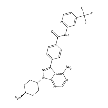 Nc1ncnc2c1c(-c1ccc(C(=O)Nc3cc(C(F)(F)F)ccn3)cc1)nn2[C@H]1CC[C@H](N)CC1